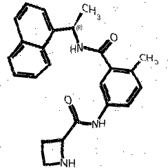 Cc1ccc(NC(=O)C2CCN2)cc1C(=O)N[C@H](C)c1cccc2ccccc12